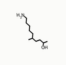 CC(O)CCC(C)CCCCCN